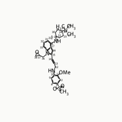 COc1cc(S(C)(=O)=O)ccc1NCC#Cc1cc2c(N[C@]3(I)CC[C@](C)(N(C)C)CC3)cccc2n1CC1CO1